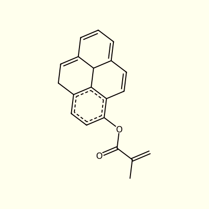 C=C(C)C(=O)Oc1ccc2c3c1C=CC1=CC=CC(=CC2)C13